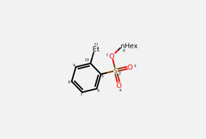 CCCCCCOS(=O)(=O)c1ccccc1CC